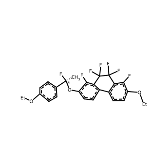 CCOc1ccc([C@@](C)(F)Oc2ccc3c(c2F)C(F)(F)C(F)(F)c2c-3ccc(OCC)c2F)cc1